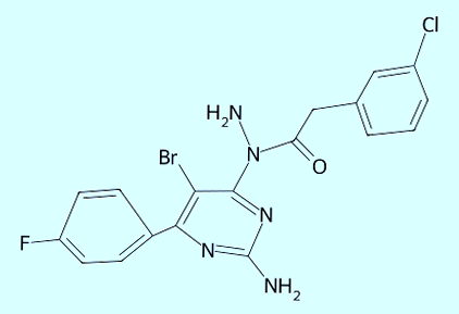 Nc1nc(-c2ccc(F)cc2)c(Br)c(N(N)C(=O)Cc2cccc(Cl)c2)n1